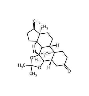 C=C1CC[C@H]2C3[C@H]4OC(C)(C)O[C@@H]4[C@H]4CC(=O)CC[C@]4(C)[C@H]3CC[C@]12C